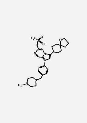 CN1CCN(Cc2ccc(-c3cc(C4CCC5(CC4)OCCO5)n4nc(OS(=O)(=O)C(F)(F)F)ncc34)cc2)CC1